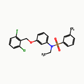 O=S(=O)(c1cccc(C(F)(F)F)c1)N(CC(F)(F)F)c1cccc(OCc2c(F)cccc2Cl)c1